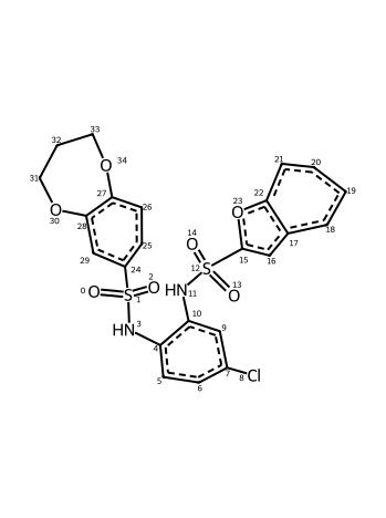 O=S(=O)(Nc1ccc(Cl)cc1NS(=O)(=O)c1cc2ccccc2o1)c1ccc2c(c1)OCCCO2